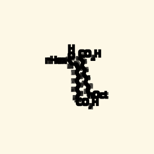 CCCCCCCC/C=C/CCCCCCCC(=O)O.CCCCCC[C@@H](O)C/C=C\CCCCCCCC(=O)O